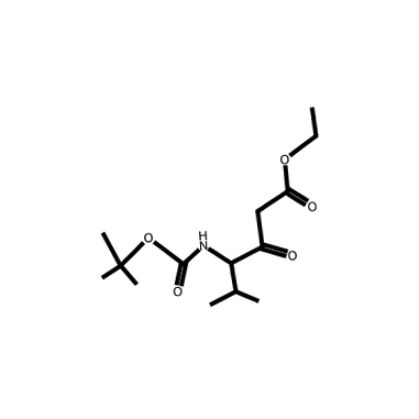 CCOC(=O)CC(=O)C(NC(=O)OC(C)(C)C)C(C)C